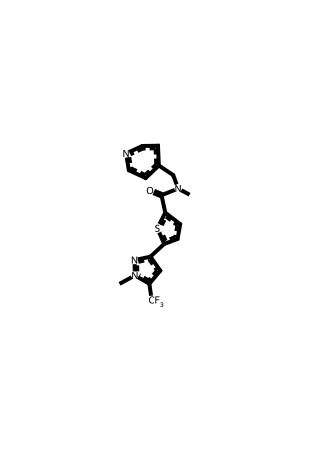 CN(Cc1ccncc1)C(=O)c1ccc(-c2cc(C(F)(F)F)n(C)n2)s1